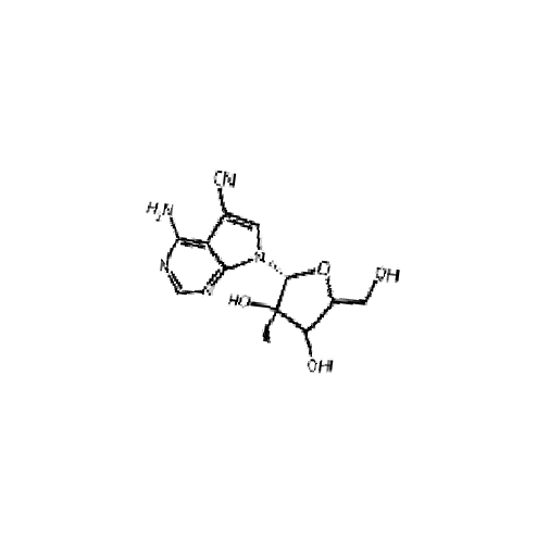 C[C@]1(O)C(O)C(CO)O[C@H]1n1cc(C#N)c2c(N)ncnc21